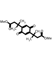 COC(=O)CC(C)(C)C1=CC(=O)C(C(C)(C)CC(=O)OC)=CC1=O